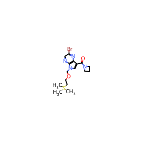 CS(C)(C)CCOCn1cc(C(=O)N2CCC2)c2nc(Br)cnc21